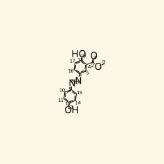 COC(=O)c1cc(N=Nc2ccc(O)cc2)ccc1O